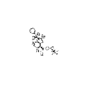 Cn1c(=O)n(C2CC(O[Si](C)(C)C(C)(C)C)C2)c2c3cc(Br)n(S(=O)(=O)c4ccccc4)c3ncc21